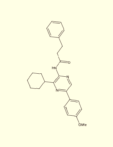 COc1ccc(-c2cnc(NC(=O)CCc3ccccc3)c(C3CCCCC3)n2)cc1